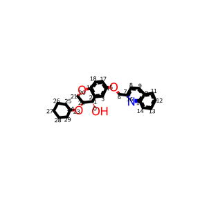 O[C@H]1c2cc(OCc3ccc4ccccc4n3)ccc2OC[C@@H]1OC1CCCCC1